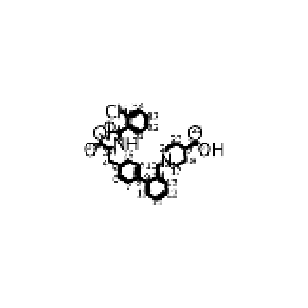 O=C(N[C@@H](Cc1ccc(-c2ccccc2CN2CCC(C(=O)O)CC2)cc1)C(=O)O)c1ccccc1Cl